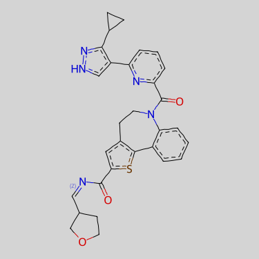 O=C(/N=C\C1CCOC1)c1cc2c(s1)-c1ccccc1N(C(=O)c1cccc(-c3c[nH]nc3C3CC3)n1)CC2